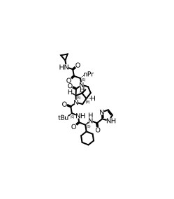 CCC[C@@H](C(=O)C(=O)NC1CC1)N1CC[C@H]2CN(C(=O)[C@@H](NC(=O)[C@@H](NC(=O)c3ncc[nH]3)C3CCCCC3)C(C)(C)C)[C@H](C1=O)[C@H]2C